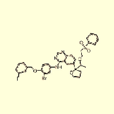 CC(OCCS(=O)(=O)c1ccccc1)C1(c2ccc3ncnc(Nc4ccc(OCc5cccc(F)c5)c(Br)c4)c3c2)CC=CO1